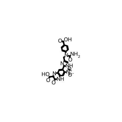 NC(=O)N(Cc1c[nH]c(-c2cc3nc(C(=O)O)c(=O)[nH]c3cc2[N+](=O)[O-])n1)c1ccc(C(=O)O)cc1